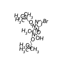 C[C@@H](c1nc2cc(Br)cnc2n1COCC[Si](C)(C)C)N(COCC[Si](C)(C)C)C(=O)O